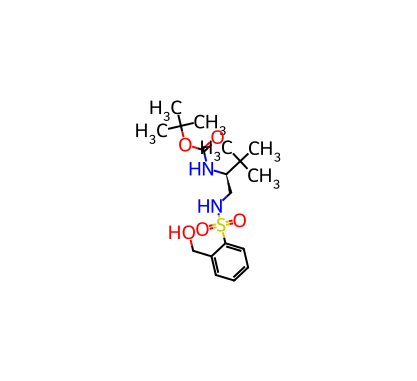 CC(C)(C)OC(=O)N[C@H](CNS(=O)(=O)c1ccccc1CO)C(C)(C)C